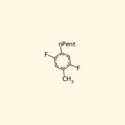 CCCCCc1cc(F)c(C)cc1F